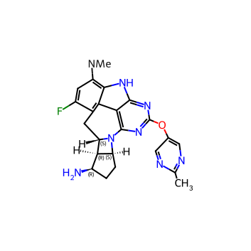 CNc1cc(F)c2c3c1[nH]c1nc(Oc4cnc(C)nc4)nc(c13)N1[C@H]3CC[C@@H](N)[C@H]3[C@@H]1C2